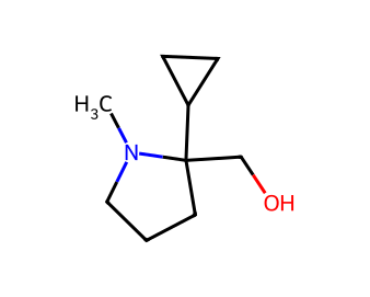 CN1CCCC1(CO)C1CC1